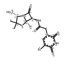 CCc1cn(CC(=O)N[C@@H]2C(=O)N3[C@@H]2SC(C)(C)[C@@H]3C(=O)O)c(=O)[nH]c1=O